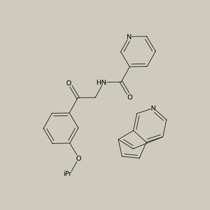 C1=Cc2c3cncc2C1=C3.CC(C)Oc1cccc(C(=O)CNC(=O)c2cccnc2)c1